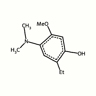 CCc1cc(N(C)C)c(OC)cc1O